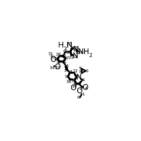 CCOC(=O)c1cn(C2CC2)c2cc(C#Cc3cc(Cc4cnc(N)nc4N)cc(OC)c3OC)ccc2c1=O